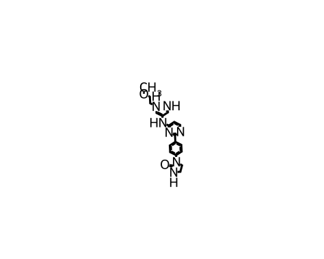 COCCN/C=C(\C=N)Nc1ccnc(-c2ccc(N3CCNC3=O)cc2)n1